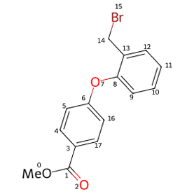 COC(=O)c1ccc(Oc2ccccc2CBr)cc1